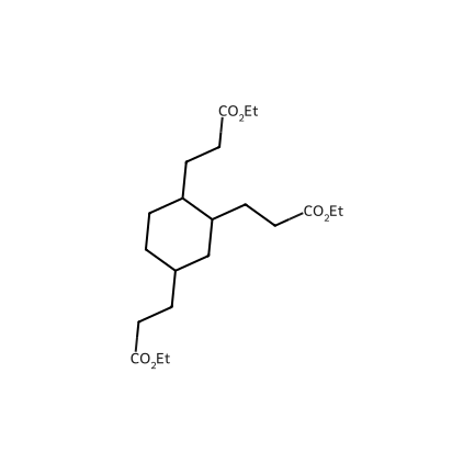 CCOC(=O)CCC1CCC(CCC(=O)OCC)C(CCC(=O)OCC)C1